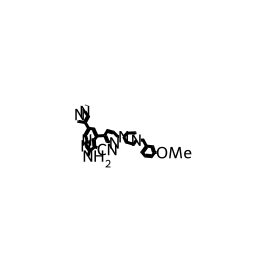 COc1cccc(CN2CCN(c3ccc(-c4cc(-c5cnn(C)c5)cn5nc(N)c(C#N)c45)cn3)CC2)c1